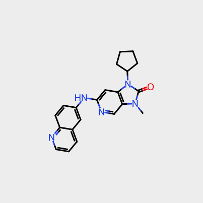 Cn1c(=O)n(C2CCCC2)c2cc(Nc3ccc4ncccc4c3)ncc21